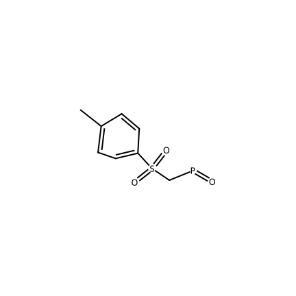 Cc1ccc(S(=O)(=O)CP=O)cc1